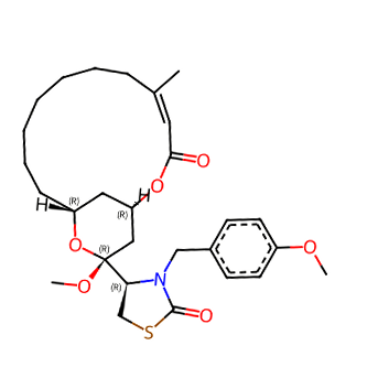 COc1ccc(CN2C(=O)SC[C@H]2[C@@]2(OC)C[C@H]3C[C@@H](CCCCCCCC(C)=CC(=O)O3)O2)cc1